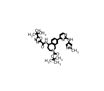 Cn1cc(Nc2nccc(-c3ccc4c(c3)CN(C(=O)OC(C)(C)C)CCC4NC(=O)c3nnc(C(C)(C)C)o3)n2)cn1